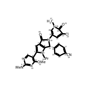 CNc1ncc(-c2cc3c(n2C(C)C)[C@@H](c2ccc(C#N)cc2)N(c2cc(Cl)c(=O)n(C)c2)C3=O)c(OC)n1